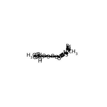 Cc1nc(Br)cn1-c1csc(N2CCN(C(=O)COCCOCCOCCOCCNC(=O)OC(C)(C)C)CC2)n1